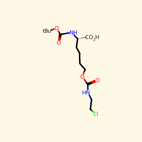 CC(C)(C)OC(=O)N[C@@H](CCCCOC(=O)NCCCl)C(=O)O